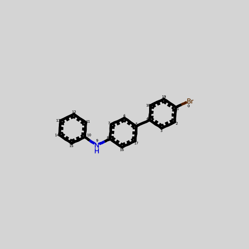 Brc1ccc(-c2ccc(Nc3ccccc3)cc2)cc1